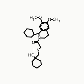 COc1cc2c(cc1OC)C(C1CCCCC1)N(C(=O)CNCC1(O)CCCCC1)CC2